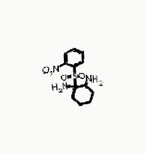 NC1CCCCC1(N)S(=O)(=O)c1ccccc1[N+](=O)[O-]